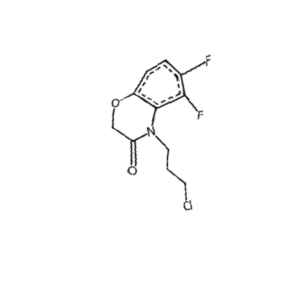 O=C1COc2ccc(F)c(F)c2N1CCCCl